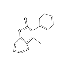 Cc1c(C2=CC=CCC2)c(=O)oc2ccccc12